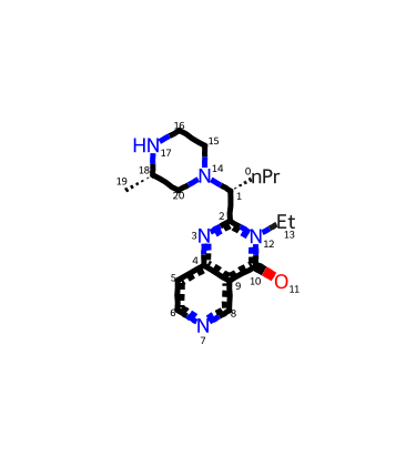 CCC[C@H](c1nc2ccncc2c(=O)n1CC)N1CCN[C@@H](C)C1